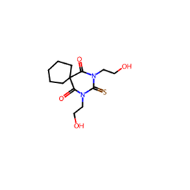 O=C1N(CCO)C(=S)N(CCO)C(=O)C12CCCCC2